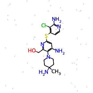 CC1(N)CCN(c2c(N)cc(Sc3ccnc(N)c3Cl)nc2CO)CC1